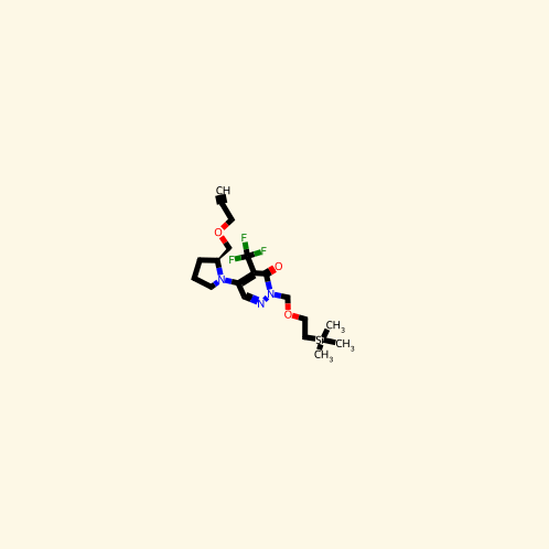 C#CCOC[C@@H]1CCCN1c1cnn(COCC[Si](C)(C)C)c(=O)c1C(F)(F)F